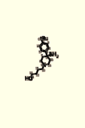 CC(C)(C)c1ccc(C2(N)CCN(CCCCO)CC2)cc1